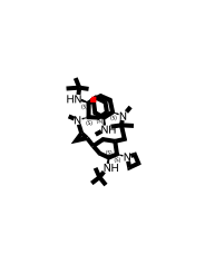 CN[C@H]1CCCC[C@@H]1N(C)C(C)(C)CC1CC(C2CC2N(C)[C@H]2CCCC[C@@H]2NC(C)(C)C)C[C@H](NC(C)(C)C)[C@H]1N1CCC1